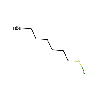 CCCCCCCCCCSCl